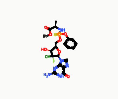 CC(C)OC(=O)[C@@H](C)NP(=S)(OC[C@H]1O[C@@H](n2cnc3c(=O)[nH]c(N)nc32)[C@@](F)(Cl)[C@@H]1O)Oc1ccccc1